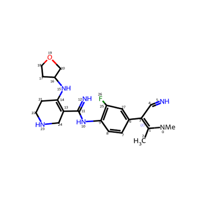 CN/C(C)=C(\C=N)c1ccc(NC(=N)C2=C(NC3CCOC3)CCNC2)c(F)c1